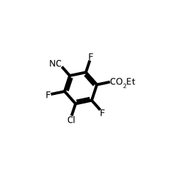 CCOC(=O)c1c(F)c(Cl)c(F)c(C#N)c1F